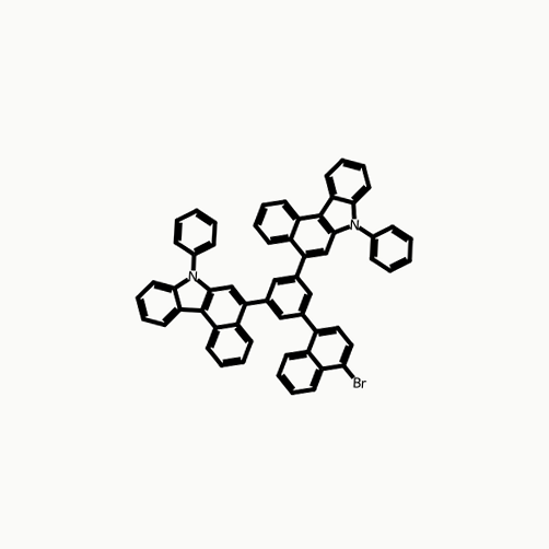 Brc1ccc(-c2cc(-c3cc4c(c5ccccc35)c3ccccc3n4-c3ccccc3)cc(-c3cc4c(c5ccccc35)c3ccccc3n4-c3ccccc3)c2)c2ccccc12